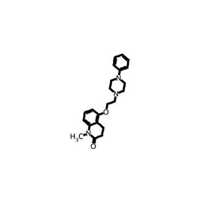 CN1C(=O)CCc2c(OCCN3CCN(c4ccccc4)CC3)cccc21